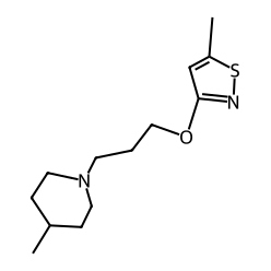 Cc1cc(OCCCN2CCC(C)CC2)ns1